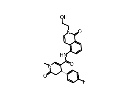 CN1C=C(C(=O)Nc2cccc3c(=O)n(CCO)ccc23)[C@H](c2ccc(F)cc2)CC1=O